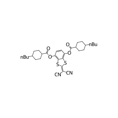 [C-]#[N+]C(C#N)=C1Sc2c(OC(=O)C3CCC(CCCC)CC3)ccc(OC(=O)C3CCC(CCCC)CC3)c2S1